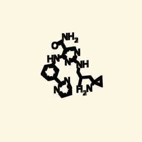 CC(CNc1ncc(C(N)=O)c(Nc2cccc(-c3ncccn3)c2)n1)CC1(N)CC1